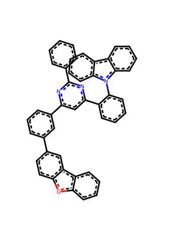 c1ccc(-c2nc(-c3cccc(-c4ccc5oc6ccccc6c5c4)c3)cc(-c3ccccc3-n3c4ccccc4c4ccccc43)n2)cc1